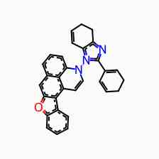 C1=CC(c2nc3c(n2N2C=Cc4c5c2cccc5cc2oc5ccccc5c42)C=CCC3)=CCC1